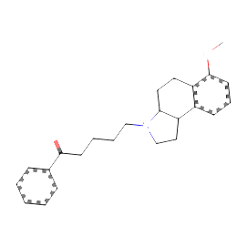 COc1cccc2c1CCC1C2CCN1CCCCC(=O)c1ccccc1